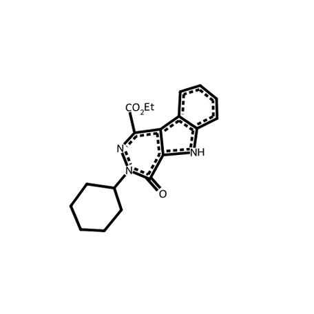 CCOC(=O)c1nn(C2CCCCC2)c(=O)c2[nH]c3ccccc3c12